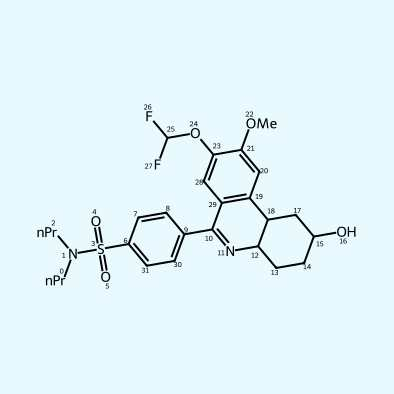 CCCN(CCC)S(=O)(=O)c1ccc(C2=NC3CCC(O)CC3c3cc(OC)c(OC(F)F)cc32)cc1